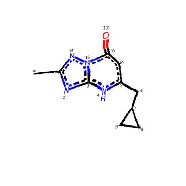 Cc1nc2[nH]c(CC3CC3)cc(=O)n2n1